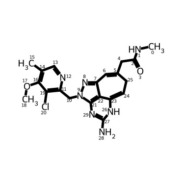 CNC(=O)CC1=Cc2nn(Cc3ncc(C)c(OC)c3Cl)c3c2C(=CC1)NC(N)=N3